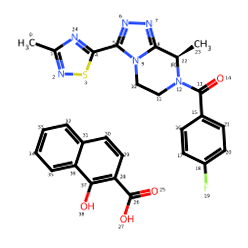 Cc1nsc(-c2nnc3n2CCN(C(=O)c2ccc(F)cc2)[C@@H]3C)n1.O=C(O)c1ccc2ccccc2c1O